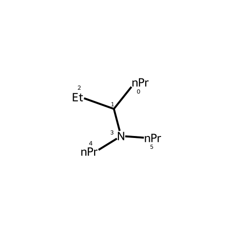 CCCC(CC)N(CCC)CCC